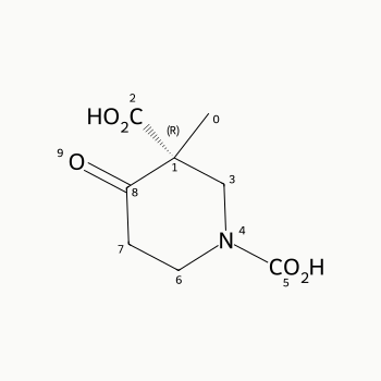 C[C@@]1(C(=O)O)CN(C(=O)O)CCC1=O